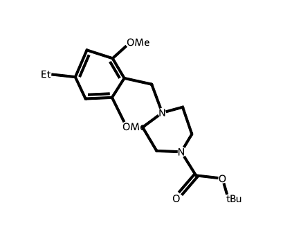 CCc1cc(OC)c(CN2CCN(C(=O)OC(C)(C)C)CC2)c(OC)c1